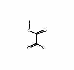 O=C(Cl)C(=O)OI